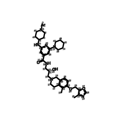 CC(=O)N1CCC(Nc2cc(C(=O)NC[C@H](O)CN3CCc4c(ccc(OCc5ocnc5C)c4C)C3)cc(N3CCCCC3)n2)CC1